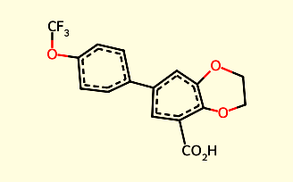 O=C(O)c1cc(-c2ccc(OC(F)(F)F)cc2)cc2c1OCCO2